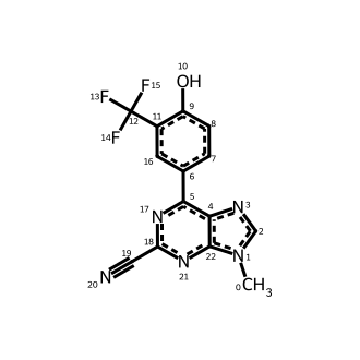 Cn1cnc2c(-c3ccc(O)c(C(F)(F)F)c3)nc(C#N)nc21